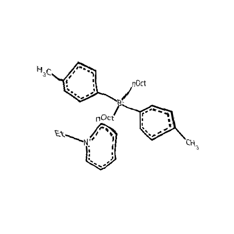 CCCCCCCC[B-](CCCCCCCC)(c1ccc(C)cc1)c1ccc(C)cc1.CC[n+]1ccccc1